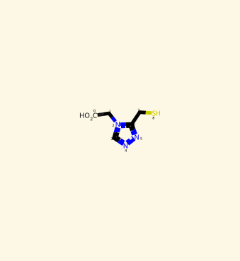 O=C(O)Cn1cnnc1CS